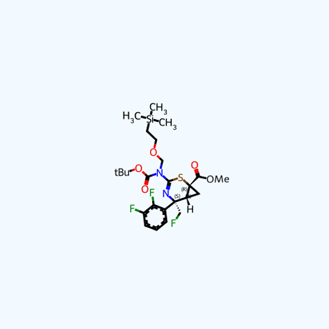 COC(=O)[C@@]12C[C@@H]1[C@@](CF)(c1cccc(F)c1F)N=C(N(COCC[Si](C)(C)C)C(=O)OC(C)(C)C)S2